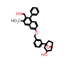 O=C(O)c1cc2cc(OCc3cccc(C45CCC(CC(O)C4)O5)c3)ccc2c(-c2ccccc2)c1CO